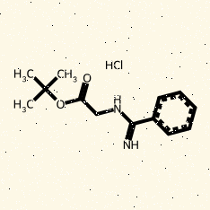 CC(C)(C)OC(=O)CNC(=N)c1ccccc1.Cl